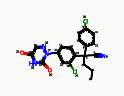 CCCC(C#N)(c1ccc(Cl)cc1)c1ccc(-n2ncc(=O)[nH]c2=O)cc1Cl